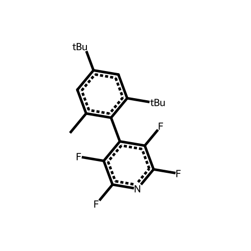 Cc1cc(C(C)(C)C)cc(C(C)(C)C)c1-c1c(F)c(F)nc(F)c1F